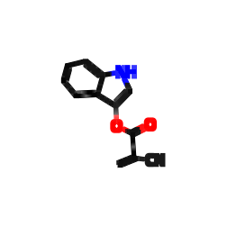 C=C(C#N)C(=O)Oc1c[nH]c2ccccc12